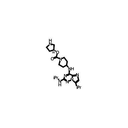 CC(C)Nc1nc(NC2CCN(C(=O)O[C@H]3CCNC3)CC2)c2ncc(C(C)C)n2n1